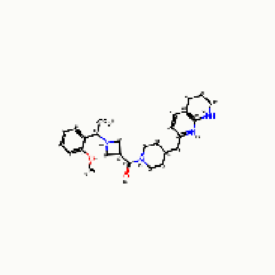 CC(C)Oc1ccccc1C(C(=O)O)N1CC(C(=O)N2CCC(Cc3ccc4c(n3)NCCC4)CC2)C1